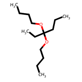 CCCCOC(CC)(CCC)OCCCC